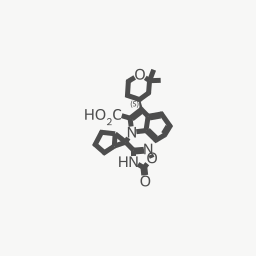 CC1(C)C[C@@H](c2c(C(=O)O)n(C3(c4noc(=O)[nH]4)C4CCCC43)c3ccccc23)CCO1